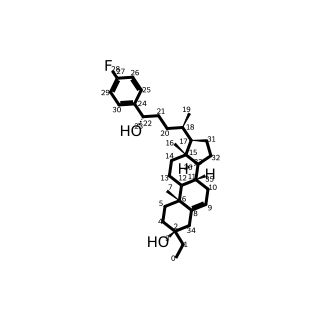 CC[C@]1(O)CC[C@@]2(C)C(=CC[C@@H]3C2CC[C@]2(C)[C@@H]([C@H](C)CC[C@H](O)c4ccc(F)cc4)CC[C@@H]32)C1